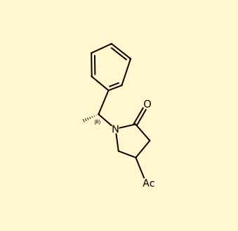 CC(=O)C1CC(=O)N([C@H](C)c2ccccc2)C1